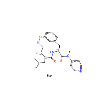 [CH2]C(C)C[C@@H](C(=O)N[C@@H](Cc1ccccc1)C(=O)N(C)c1ccncc1)[C@H](C)C[N-]O.[Na+]